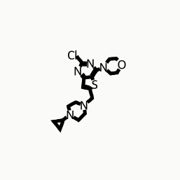 Clc1nc(N2CCOCC2)c2sc(CN3CCN(C4CC4)CC3)cc2n1